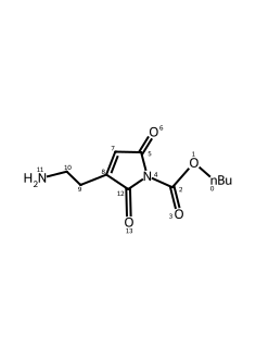 CCCCOC(=O)N1C(=O)C=C(CCN)C1=O